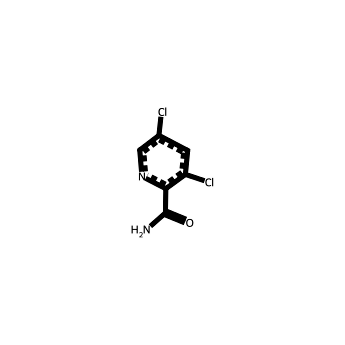 NC(=O)c1ncc(Cl)cc1Cl